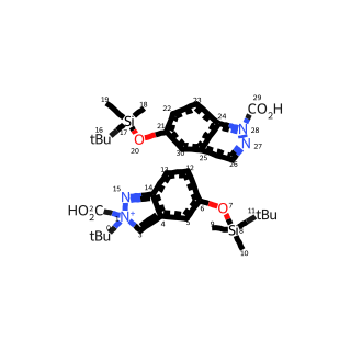 CC(C)(C)[N+]1(C(=O)O)C=c2cc(O[Si](C)(C)C(C)(C)C)ccc2=N1.CC(C)(C)[Si](C)(C)Oc1ccc2c(cnn2C(=O)O)c1